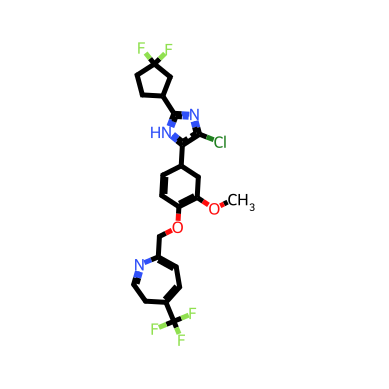 COC1=C(OCC2=CC=C(C(F)(F)F)CC=N2)C=CC(c2[nH]c(C3CCC(F)(F)C3)nc2Cl)C1